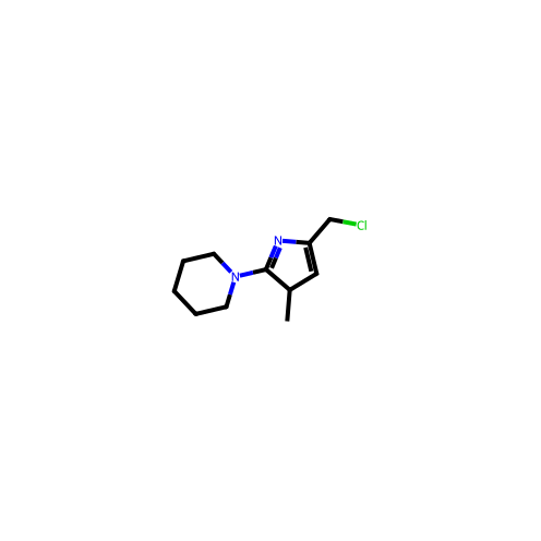 CC1C=C(CCl)N=C1N1CCCCC1